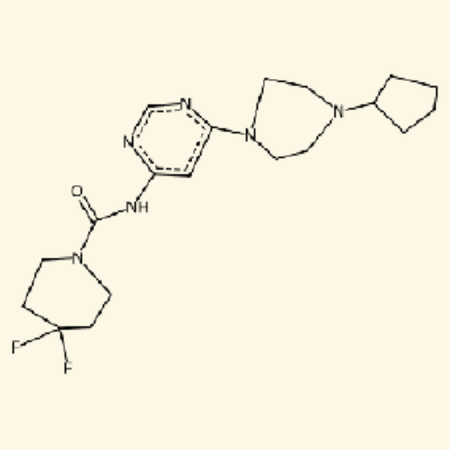 O=C(Nc1cc(N2CCN(C3CCCC3)CC2)ncn1)N1CCC(F)(F)CC1